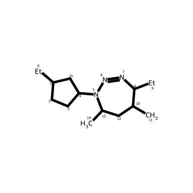 CCC1CCC(N2N=NC(CC)C(C)CC2C)C1